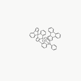 CC1(C)c2ccccc2C2(c3ccccc3-c3ccccc32)c2cccc(-c3cccc(N(c4ccccc4)c4ccc5c6ccccc6c6ccccc6c5c4)c3)c21